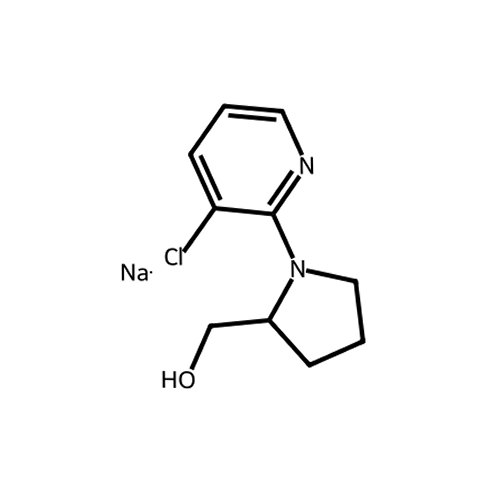 OCC1CCCN1c1ncccc1Cl.[Na]